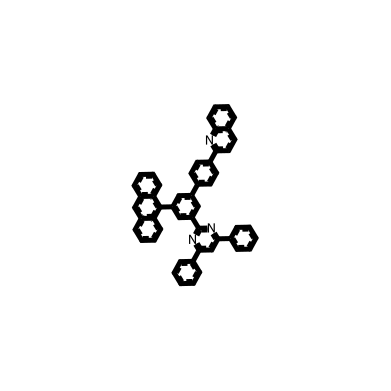 c1ccc(-c2cc(-c3ccccc3)nc(-c3cc(-c4ccc(-c5ccc6ccccc6n5)cc4)cc(-c4c5ccccc5cc5ccccc45)c3)n2)cc1